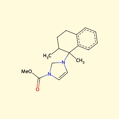 COC(=O)N1C=CN(C2(C)c3ccccc3CCC2C)C1